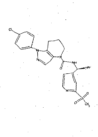 CCC[C@H](NC(=O)N1CCCc2c1cnn2-c1ccc(Cl)cc1)c1ccnc(S(C)(=O)=O)c1